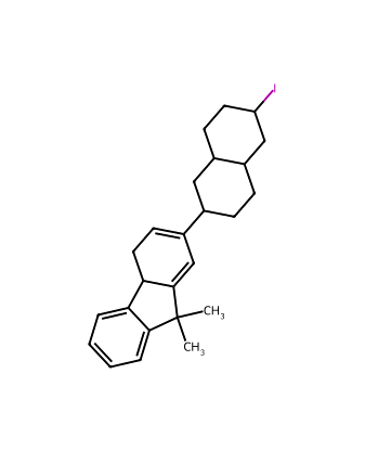 CC1(C)C2=CC(C3CCC4CC(I)CCC4C3)=CCC2c2ccccc21